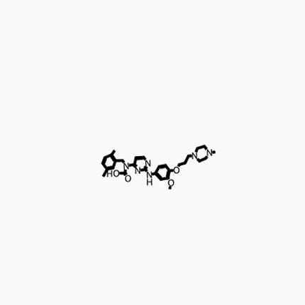 COc1cc(Nc2nccc(N(Cc3cc(C)ccc3C)C(=O)O)n2)ccc1OCCCN1CCN(C)CC1